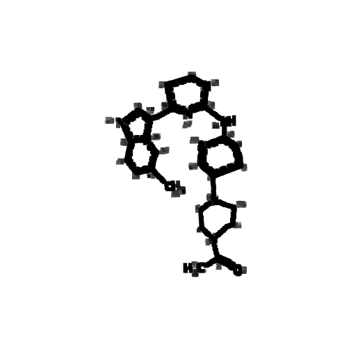 CC(=O)N1CCN(c2ccc(Nc3nccc(-c4cnc5ccc(C)cn45)n3)nc2)CC1